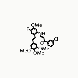 COc1cc(NC=CC(=O)c2cccc(Cl)c2)c(C=Cc2cc(OC)c(OC)c(OC)c2)cc1F